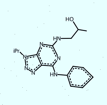 CC(O)CNc1nc(Nc2ccccc2)c2nnn(C(C)C)c2n1